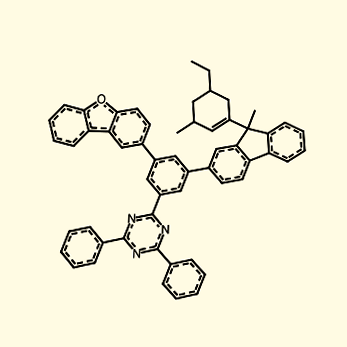 CCC1CC(C2(C)c3ccccc3-c3ccc(-c4cc(-c5ccc6oc7ccccc7c6c5)cc(-c5nc(-c6ccccc6)nc(-c6ccccc6)n5)c4)cc32)=CC(C)C1